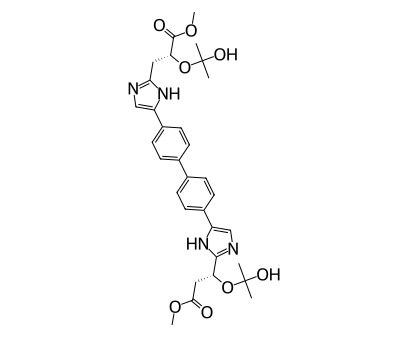 COC(=O)C[C@@H](OC(C)(C)O)c1ncc(-c2ccc(-c3ccc(-c4cnc(C[C@@H](OC(C)(C)O)C(=O)OC)[nH]4)cc3)cc2)[nH]1